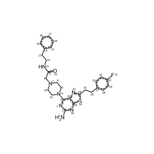 Nc1nc(N2CCN(CC(=O)NCCc3ccccc3)CC2)c2nc(CCc3ccc(F)cc3)sc2n1